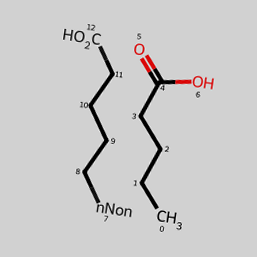 CCCCC(=O)O.CCCCCCCCCCCCCC(=O)O